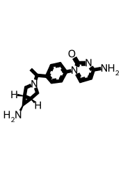 CC(c1ccc(-n2ccc(N)nc2=O)cc1)N1C[C@@H]2[C@@H](N)[C@@H]2C1